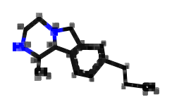 CCCc1ccc2c(c1)CN1CCNC(C)C21